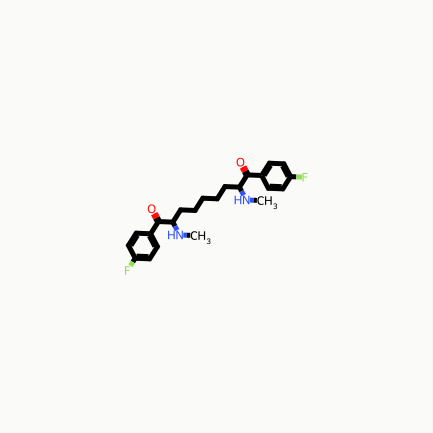 CNC(CCCCCC(NC)C(=O)c1ccc(F)cc1)C(=O)c1ccc(F)cc1